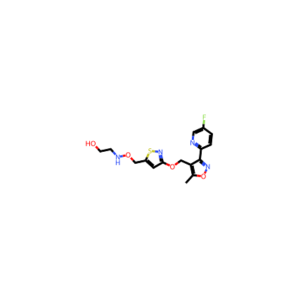 Cc1onc(-c2ccc(F)cn2)c1COc1cc(CONCCO)sn1